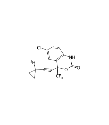 [2H]C1(C#CC2(C(F)(F)F)OC(=O)Nc3ccc(Cl)cc32)CC1